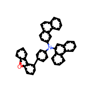 c1ccc2c(c1)ccc1ccc(N(c3ccc(-c4cccc5oc6ccccc6c45)cc3)c3cc4ccccc4c4ccccc34)cc12